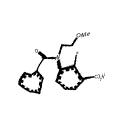 COCCN(C(=O)c1ccccc1)c1cccc(C(=O)O)c1F